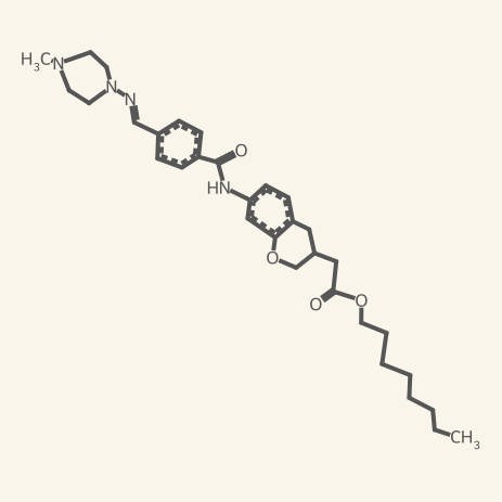 CCCCCCCCOC(=O)CC1COc2cc(NC(=O)c3ccc(C=NN4CCN(C)CC4)cc3)ccc2C1